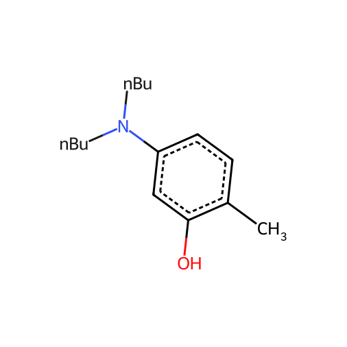 CCCCN(CCCC)c1ccc(C)c(O)c1